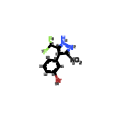 O=[N+]([O-])c1n[nH]c(C(F)F)c1-c1cccc(Br)c1